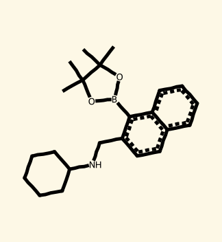 CC1(C)OB(c2c(CNC3CCCCC3)ccc3ccccc23)OC1(C)C